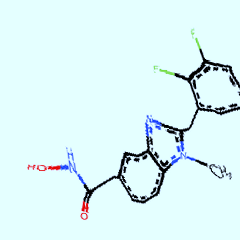 Cn1c(-c2cccc(F)c2F)nc2cc(C(=O)NO)ccc21